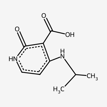 CC(C)Nc1cc[nH]c(=O)c1C(=O)O